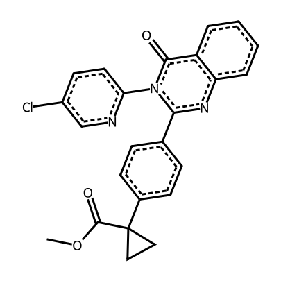 COC(=O)C1(c2ccc(-c3nc4ccccc4c(=O)n3-c3ccc(Cl)cn3)cc2)CC1